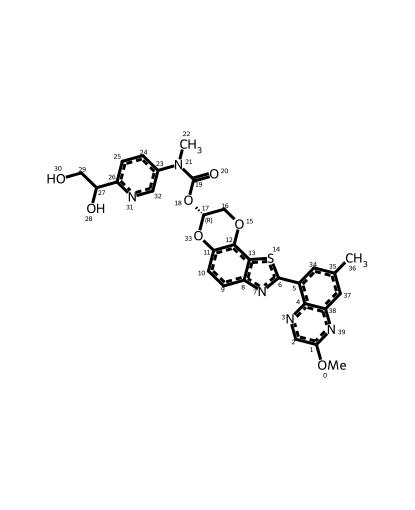 COc1cnc2c(-c3nc4ccc5c(c4s3)OC[C@@H](OC(=O)N(C)c3ccc(C(O)CO)nc3)O5)cc(C)cc2n1